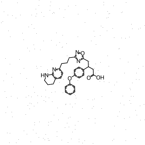 O=C(O)CC(Cc1nc(CCCc2ccc3c(n2)NCCC3)no1)c1ccc(Oc2ccccc2)cc1